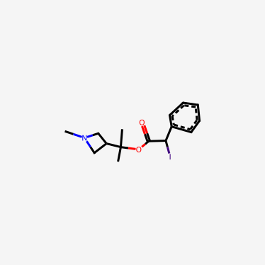 CN1CC(C(C)(C)OC(=O)C(I)c2ccccc2)C1